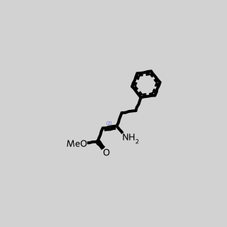 COC(=O)/C=C(\N)CCc1ccccc1